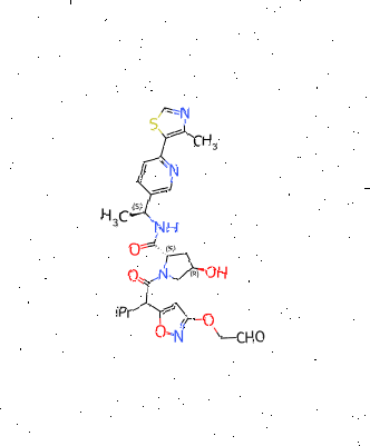 Cc1ncsc1-c1ccc([C@H](C)NC(=O)[C@@H]2C[C@@H](O)CN2C(=O)C(c2cc(OCC=O)no2)C(C)C)cn1